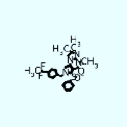 CN1C(=O)c2c(cn(Cc3ccc(C(C)(F)F)cc3)c2[S+]([O-])c2ccccc2)N2CC(C)(C)N=C12